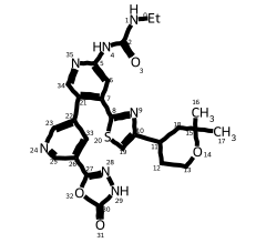 CCNC(=O)Nc1cc(-c2nc(C3CCOC(C)(C)C3)cs2)c(-c2cncc(-c3n[nH]c(=O)o3)c2)cn1